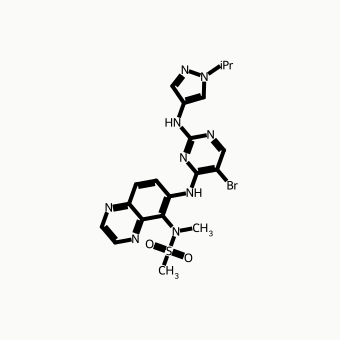 CC(C)n1cc(Nc2ncc(Br)c(Nc3ccc4nccnc4c3N(C)S(C)(=O)=O)n2)cn1